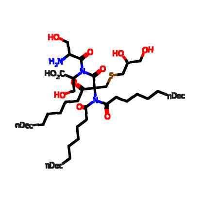 CCCCCCCCCCCCCCCC(=O)N(C(=O)CCCCCCCCCCCCCCC)C(CSCC(O)CO)(C(=O)CCCCCCCCCCCCCCC)C(=O)N(C(=O)C(N)CO)C(CO)C(=O)O